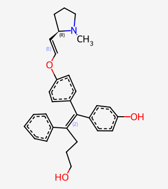 CN1CCC[C@@H]1/C=C/Oc1ccc(/C(=C(/CCCO)c2ccccc2)c2ccc(O)cc2)cc1